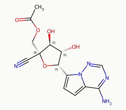 CC(=O)OC[C@@]1(C#N)O[C@@H](c2ccc3c(N)ncnn23)[C@@H](O)[C@@H]1O